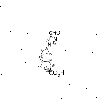 O=Cc1cn(C2CC(OC3CCN(C(=O)O)CC3)C2)cn1